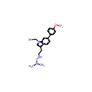 CC(C)Cn1cc(CCNSN(C)C)c2ccc(-c3ccc(OC(F)(F)F)cc3)cc21